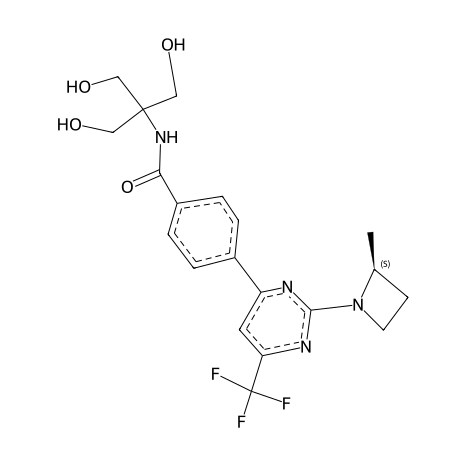 C[C@H]1CCN1c1nc(-c2ccc(C(=O)NC(CO)(CO)CO)cc2)cc(C(F)(F)F)n1